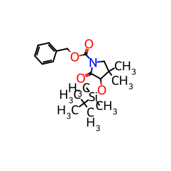 CC1(C)CN(C(=O)OCc2ccccc2)C(=O)C1O[Si](C)(C)C(C)(C)C